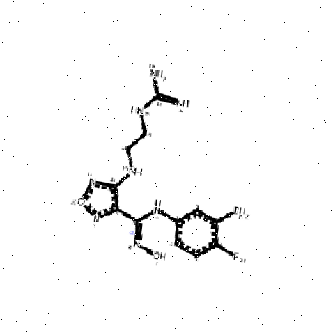 Bc1cc(N/C(=N\O)c2nonc2NCCNC(=N)N)ccc1F